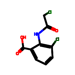 O=C(CCl)Nc1c(Cl)cccc1C(=O)O